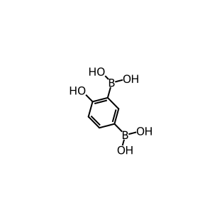 OB(O)c1ccc(O)c(B(O)O)c1